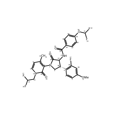 COc1ccc([C@@H]2CN(c3c(C)ccn(CC(F)F)c3=O)C(=O)C2NC(=O)c2ccc(OC(F)F)cc2)c(F)c1